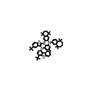 Cc1cc2c3c(c1)N(c1ccc(C(C)(C)C)c4c1C1CC=CC=C1S4)c1c(sc4ccc(C(C)(C)C)cc14)B3c1cc3c(cc1N2c1ccc2c(c1)C(C)(C)CCCC2(C)C)C(C)(C)CCC3(C)C